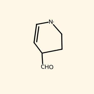 O=CC1C=C[N]CC1